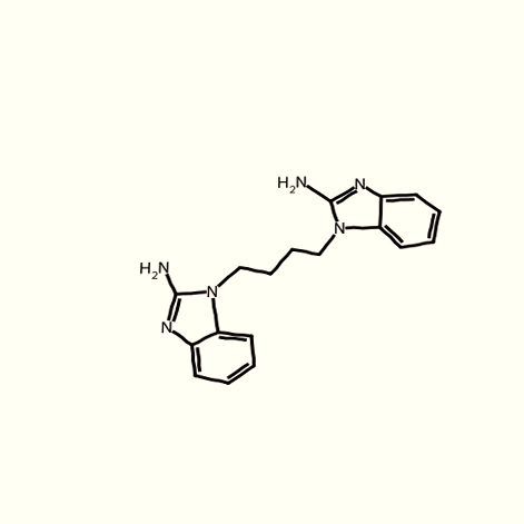 Nc1nc2ccccc2n1CCCCn1c(N)nc2ccccc21